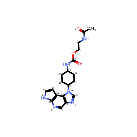 CC(=O)NCCOC(=O)NC1CCC(n2cnc3cnc4[nH]ccc4c32)CC1